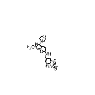 Cc1cc(CNC(=O)/C=C\c2ccc(C(F)(F)F)nc2N2CCOCC2)cc(F)c1NS(C)(=O)=O